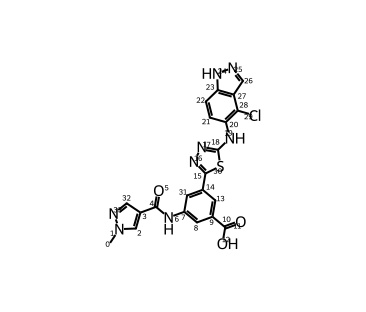 Cn1cc(C(=O)Nc2cc(C(=O)O)cc(-c3nnc(Nc4ccc5[nH]ncc5c4Cl)s3)c2)cn1